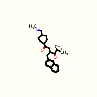 CNCC1CCC(C(=O)CC(Cc2ccc3ccccc3c2)C(=O)C(C)C)CC1